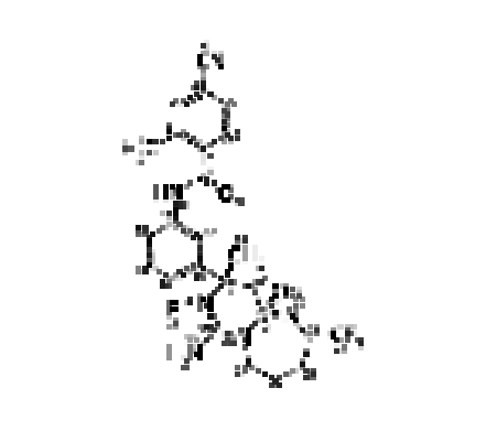 Cc1cc(C#N)cnc1C(=O)Nc1ccc(F)c([C@]2(C)CS3(=O)=N[C@H](C(F)(F)F)CCCN3C(N)=N2)c1